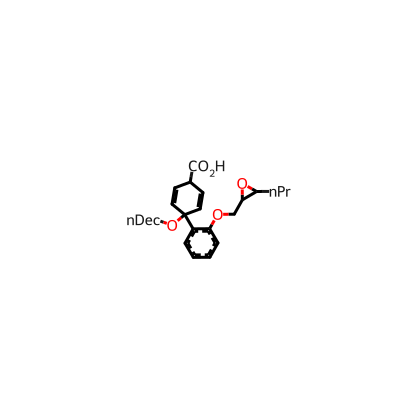 CCCCCCCCCCOC1(c2ccccc2OCC2OC2CCC)C=CC(C(=O)O)C=C1